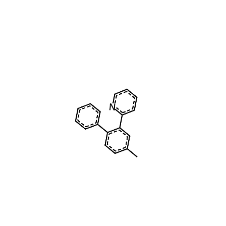 Cc1ccc(-c2ccccc2)c(-c2ccccn2)c1